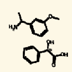 COc1cccc(C(C)N)c1.O=C(O)[C@@H](O)c1ccccc1